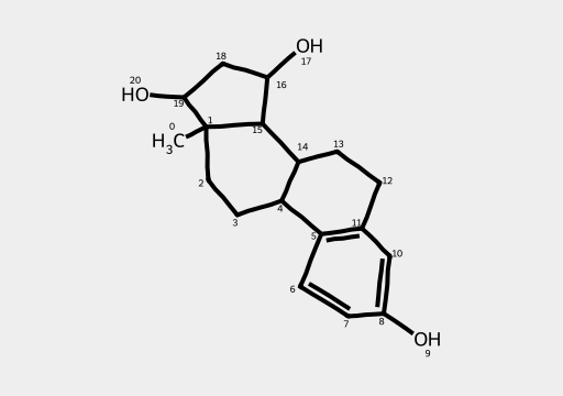 CC12CCC3c4ccc(O)cc4CCC3C1C(O)CC2O